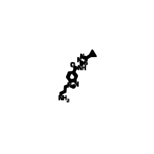 NCCCn1cnc2cc(C(=O)Nc3nnc(C4CC4)s3)ccc21